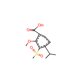 COc1c(C(=O)O)ccc(C(C)C)c1S(C)(=O)=O